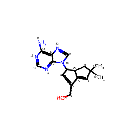 CC1(C)C=C2C(CO)=CC(n3cnc4c(N)ncnc43)C2C1